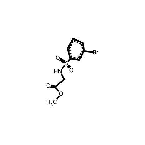 COC(=O)CNS(=O)(=O)c1cccc(Br)c1